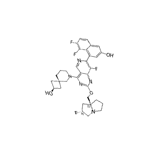 Oc1cc(-c2ncc3c(N4CCC[C@]5(C4)C[C@H](O)C5)nc(OC[C@@]45CCCN4C[C@H](F)C5)nc3c2F)c2c(F)c(F)ccc2c1